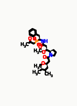 CC[C@H](C)C[C@@H](CC(=O)N1CCC[C@H]1[C@@H](CC(=O)N[C@@H](Cc1ccccc1)P(=O)(O)CC(C)=O)OC)OC